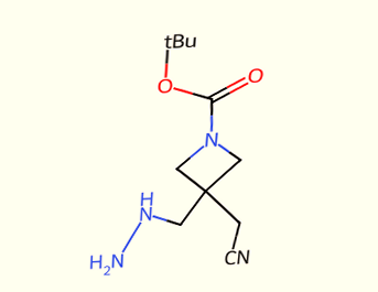 CC(C)(C)OC(=O)N1CC(CC#N)(CNN)C1